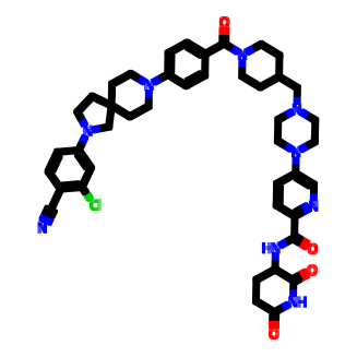 N#Cc1ccc(N2CCC3(CCN(c4ccc(C(=O)N5CCC(CN6CCN(c7ccc(C(=O)NC8CCC(=O)NC8=O)nc7)CC6)CC5)cc4)CC3)C2)cc1Cl